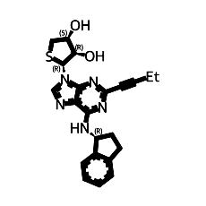 CCC#Cc1nc(N[C@@H]2CCc3ccccc32)c2ncn([C@@H]3SC[C@@H](O)[C@H]3O)c2n1